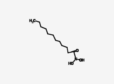 CCCCCCCCCCCC(=O)N(O)O